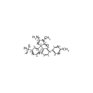 Cc1ncc(-c2ccc(F)c(C3(c4ccnc(C(F)(F)F)c4)N=C(N)N(C)C3=O)c2)cn1